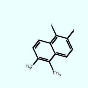 Cc1ccc2c(I)c(I)ccc2c1C